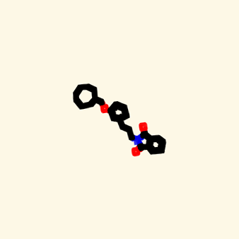 O=C1c2ccccc2C(=O)N1CCCc1cccc(OCC2CCCCCCC2)c1